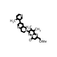 COCc1cc(=O)n2nc(N3CCc4ncc(-c5cnccc5C)cc4C3)c(C)c(C)c2n1